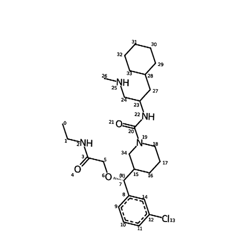 CCNC(=O)CO[C@@H](c1cccc(Cl)c1)C1CCCN(C(=O)NC(CNC)CC2CCCCC2)C1